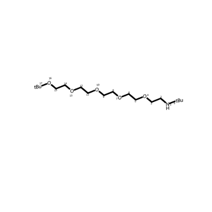 CC(C)(C)NCCOCCOCCOCCOCCOC(C)(C)C